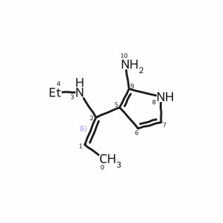 C/C=C(/NCC)c1cc[nH]c1N